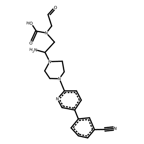 N#Cc1cccc(-c2ccc(N3CCN(C(N)CN(CC=O)C(=O)O)CC3)nc2)c1